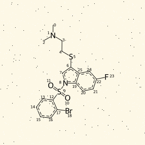 CN(C)CCSc1cn(S(=O)(=O)c2ccccc2Br)c2ccc(F)cc12